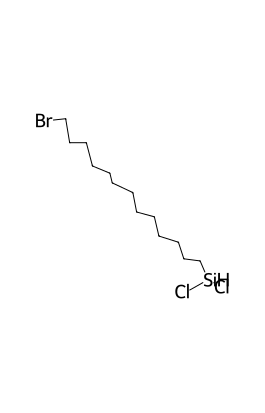 Cl[SiH](Cl)CCCCCCCCCCCCCBr